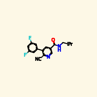 CC(C)CNC(=O)c1cnc(C#N)c(-c2cc(F)cc(F)c2)c1